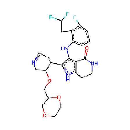 O=C1NCCc2[nH]c(C3CC=NCC3OCC3COCCO3)c(Nc3cccc(F)c3CC(F)F)c21